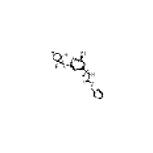 CC(C)(NC(=O)OCc1ccccc1)c1cc(Cl)nc(OC2[C@H]3CNC[C@@H]23)c1